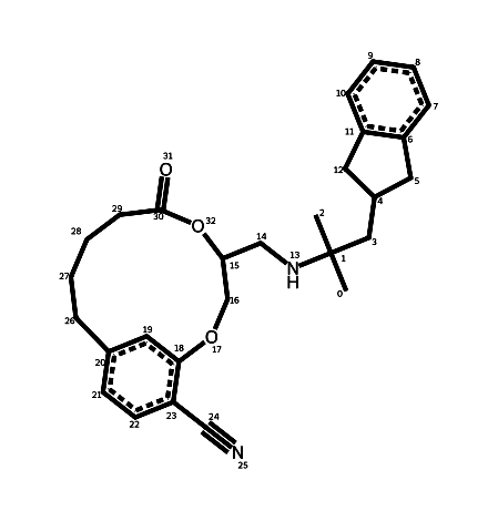 CC(C)(CC1Cc2ccccc2C1)NCC1COc2cc(ccc2C#N)CCCCC(=O)O1